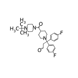 CC(C)(C)N1CCN(C(=O)C2CCN(C(CC=O)(c3ccc(F)cc3)c3ccc(F)cc3)CC2)CC1